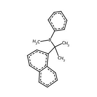 CB(c1ccccc1)C(C)(C)c1cccc2ccccc12